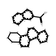 O=C(Cl)c1ccc2ccccc2c1.c1ccc2c(c1)ccc1c3c(ccc12)CCCC3